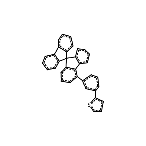 c1cc(-c2cccs2)cc(-c2cccc3c2-c2ccccc2C32c3ccccc3-c3ccccc32)c1